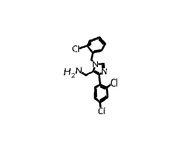 NCc1c(-c2ccc(Cl)cc2Cl)ncn1Cc1ccccc1Cl